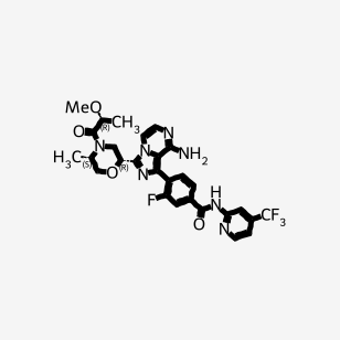 CO[C@H](C)C(=O)N1C[C@H](c2nc(-c3ccc(C(=O)Nc4cc(C(F)(F)F)ccn4)cc3F)c3c(N)nccn23)OC[C@@H]1C